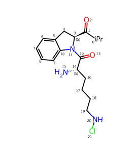 CC(C)C(=O)[C@@H]1Cc2ccccc2N1C(=O)[C@@H](N)CCCCNCl